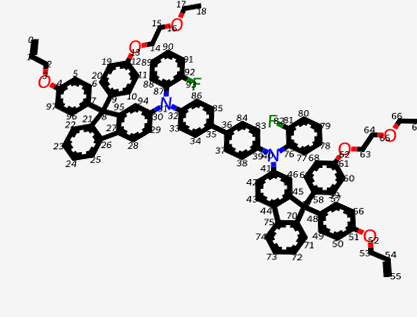 C=CCOc1ccc(C2(c3ccc(OCCOCC)cc3)c3ccccc3-c3ccc(N(c4ccc(-c5ccc(N(c6ccc7c(c6)C(c6ccc(OCC=C)cc6)(c6ccc(OCCOCC)cc6)c6ccccc6-7)c6ccccc6F)cc5)cc4)c4ccccc4F)cc32)cc1